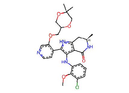 COc1c(Cl)cccc1Nc1c(-c2ccncc2OCC2COC(C)(C)CO2)[nH]c2c1C(=O)N[C@H](C)C2